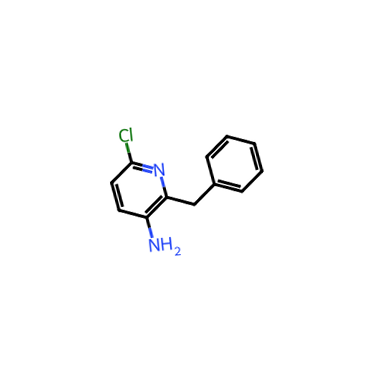 Nc1ccc(Cl)nc1Cc1ccccc1